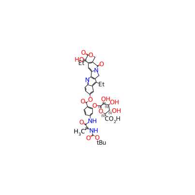 CCc1c2c(nc3ccc(OC(=O)c4ccc(NC(=O)[C@H](C)NC(=O)OC(C)(C)C)cc4O[C@@H]4O[C@H](C(=O)O)[C@@H](O)[C@H](O)[C@H]4O)cc13)-c1cc3c(c(=O)n1C2)COC(=O)[C@]3(O)CC